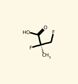 C[C@@](F)(CF)C(=O)O